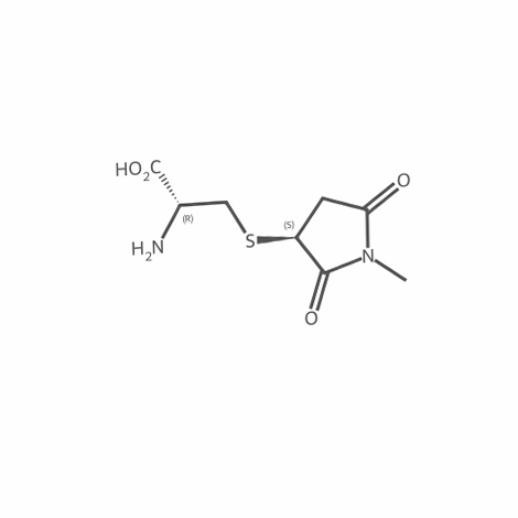 CN1C(=O)C[C@H](SC[C@H](N)C(=O)O)C1=O